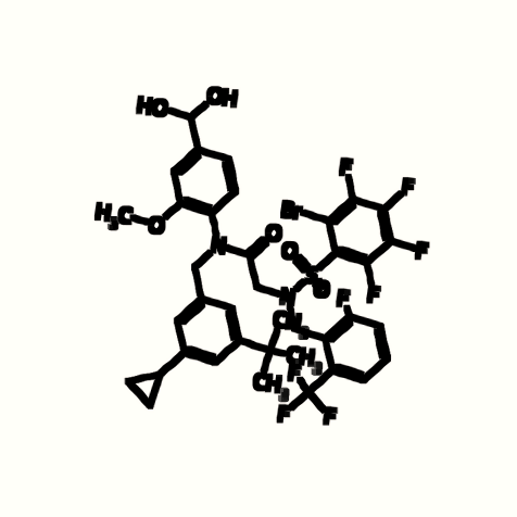 COc1cc(C(O)O)ccc1N(Cc1cc(C2CC2)cc(C(C)(C)C)c1)C(=O)CN(Cc1c(F)cccc1C(F)(F)F)S(=O)(=O)c1c(F)c(F)c(F)c(F)c1Br